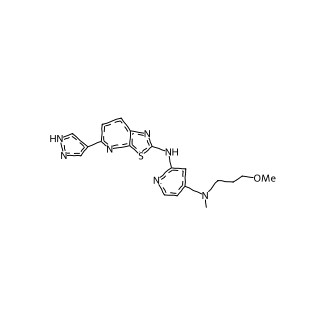 COCCCN(C)c1ccnc(Nc2nc3ccc(-c4cn[nH]c4)nc3s2)c1